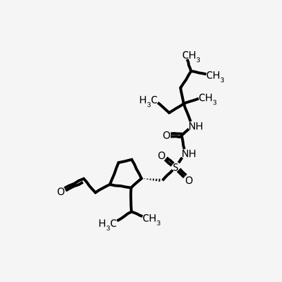 CCC(C)(CC(C)C)NC(=O)NS(=O)(=O)C[C@H]1CCC(CC=O)C1C(C)C